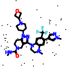 CNC(=O)N1CCc2c(c(N3CCN(C)c4cc(-c5cnn(C)c5)c(C(F)(F)F)cc43)nn2C2CCN(C3COC3)CC2)C1